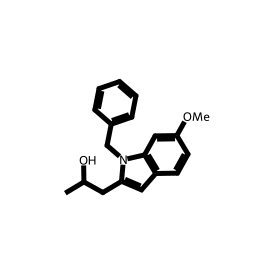 COc1ccc2cc(CC(C)O)n(Cc3ccccc3)c2c1